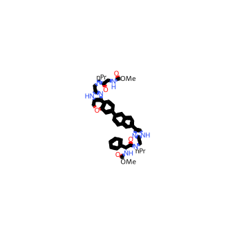 CCCN(Cc1nc2c([nH]1)COc1cc(-c3ccc4cc(-c5c[nH]c(CN(CCC)C(=O)[C@H](NC(=O)OC)c6ccccc6)n5)ccc4c3)ccc1-2)C(=O)CNC(=O)OC